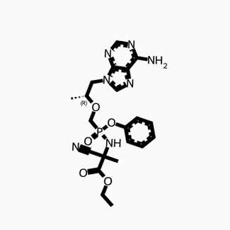 CCOC(=O)C(C)(C#N)NP(=O)(CO[C@H](C)Cn1cnc2c(N)ncnc21)Oc1ccccc1